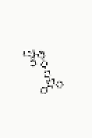 c1ccc(-c2nc(-c3ccccc3)nc(-c3ccc(-c4ccc(-c5ccnc(-c6nc7ccccc7n6-c6ccccc6)c5)cc4)cc3)n2)cc1